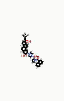 C[C@]12C[C@H](N3CCN(C(=O)[C@@H]4CCCN4C(=O)c4cccc5ccccc45)CC3)[C@@H](O)C[C@@H]1CC[C@@H]1[C@@H]2CC[C@@]2(C)[C@H]1CC[C@@]2(O)C#C[Si](C)(C)C